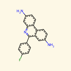 Nc1ccc2c(c1)nc(-c1ccc(F)cc1)c1cc(N)ccc12